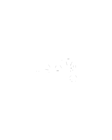 CCc1c(-c2ccc([C@@H](C/C(=N\O)c3ccc(=O)n(C)c3)c3ccc(Cl)cc3F)cc2)csc1C(=O)O